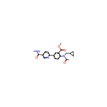 CNC(=O)c1ccc(-c2ccc(N(CC3CC3)C(C)=O)c(C(=O)OC)c2)nc1